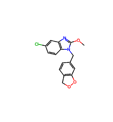 COc1nc2cc(Cl)ccc2n1Cc1ccc2c(c1)OOC2